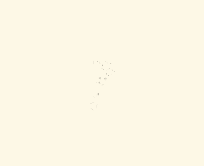 Nc1nc2c(ncn2[C@@H]2O[C@H](COP(O)Nc3ccccc3)[C@@H](O)[C@H]2O)c(=O)[nH]1